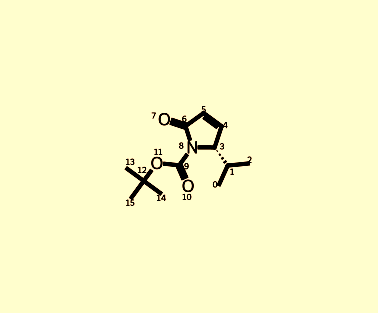 CC(C)[C@H]1C=CC(=O)N1C(=O)OC(C)(C)C